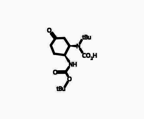 CC(C)(C)OC(=O)N[C@H]1CCC(=O)C[C@H]1N(C(=O)O)C(C)(C)C